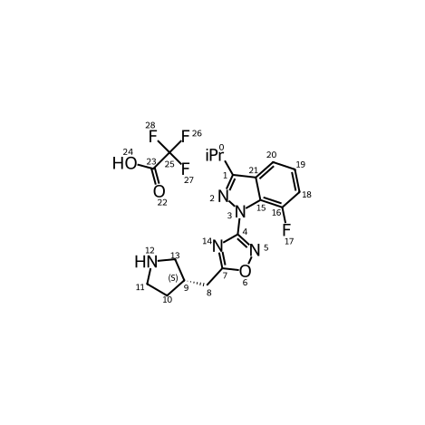 CC(C)c1nn(-c2noc(C[C@@H]3CCNC3)n2)c2c(F)cccc12.O=C(O)C(F)(F)F